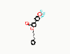 O=Cc1cc(-c2ccc(OC(F)(F)F)cc2)ccc1OCCCCCc1ccccc1